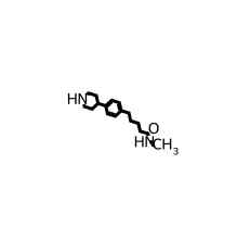 CNC(=O)CCCCc1ccc(C2CCNCC2)cc1